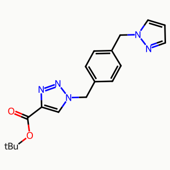 CC(C)(C)OC(=O)c1cn(Cc2ccc(Cn3cccn3)cc2)nn1